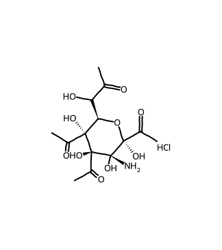 CC(=O)C(O)[C@H]1O[C@@](O)(C(C)=O)[C@](N)(O)[C@](O)(C(C)=O)[C@@]1(O)C(C)=O.Cl